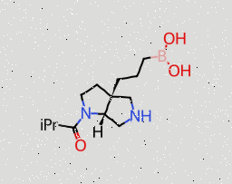 CC(C)C(=O)N1CC[C@]2(CCCB(O)O)CNC[C@H]12